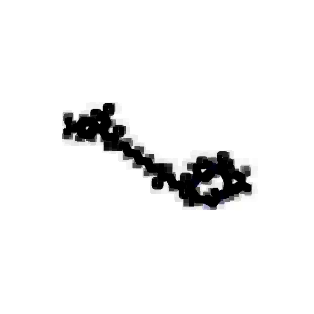 CC1=C[C@]2(C)/C=C(C)/C=C/C[C@@H](OC(=O)CCC(=O)NCCCCCCNC(=O)Cc3cc(=O)oc4cc(N(C)C)ccc34)/C=C3C=C/C(=C4\C(=O)O[C@]2(C[C@@H]1C)C4=O)OC/3